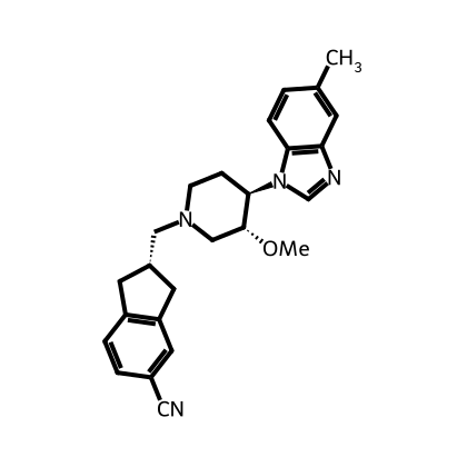 CO[C@@H]1CN(C[C@H]2Cc3ccc(C#N)cc3C2)CC[C@H]1n1cnc2cc(C)ccc21